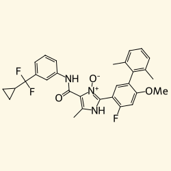 COc1cc(F)c(-c2[nH]c(C)c(C(=O)Nc3cccc(C(F)(F)C4CC4)c3)[n+]2[O-])cc1-c1c(C)cccc1C